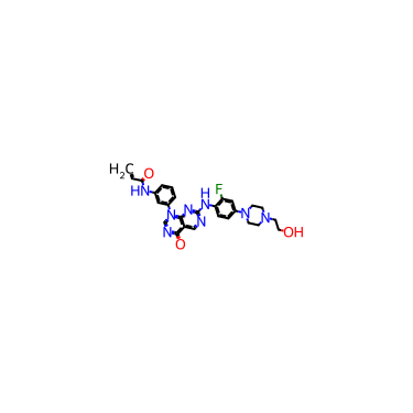 C=CC(=O)Nc1cccc(-n2cnc(=O)c3cnc(Nc4ccc(N5CCN(CCO)CC5)cc4F)nc32)c1